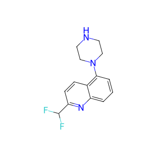 FC(F)c1ccc2c(N3CCNCC3)cccc2n1